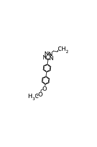 C=CCn1nnc(-c2ccc(-c3ccc(OCOC)cc3)cc2)n1